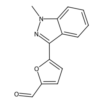 Cn1nc(-c2ccc(C=O)o2)c2ccccc21